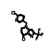 O=c1ccn(Cc2ccc(Cl)nc2)c2cc(C(F)(F)F)nn12